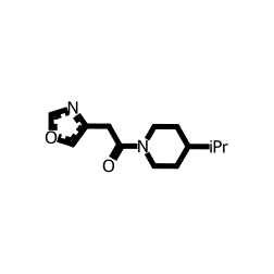 CC(C)C1CCN(C(=O)Cc2cocn2)CC1